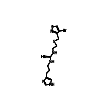 N=C(NCCCc1c[nH]cn1)NCCSCc1nscc1Br